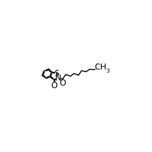 CCCCCCCCCC(=O)n1sc2ccccc2c1=O